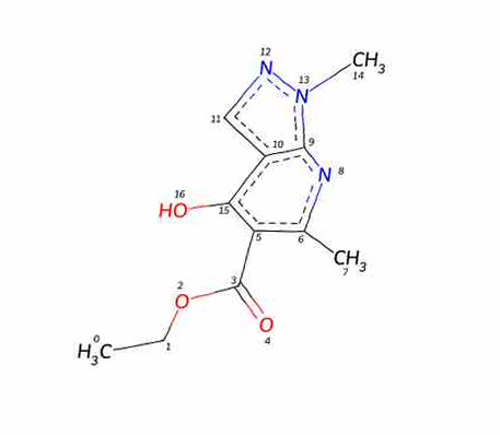 CCOC(=O)c1c(C)nc2c(cnn2C)c1O